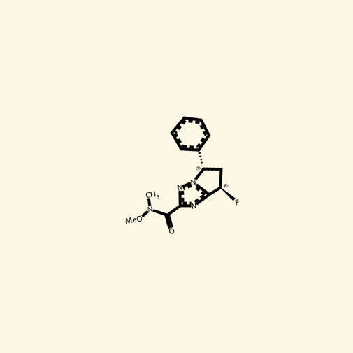 CON(C)C(=O)c1nc2n(n1)[C@H](c1ccccc1)C[C@H]2F